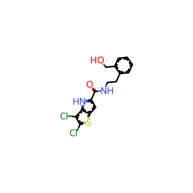 O=C(NCCc1ccccc1CO)c1cc2sc(Cl)c(Cl)c2[nH]1